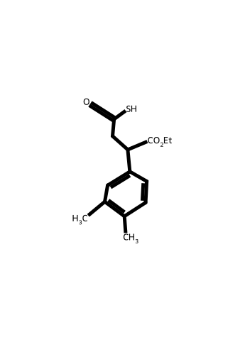 CCOC(=O)C(CC(=O)S)c1ccc(C)c(C)c1